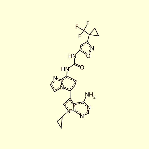 Nc1ncnc2c1c(-c1ccc(NC(=O)Nc3cc(C4(C(F)(F)F)CC4)no3)c3nccn13)cn2C1CC1